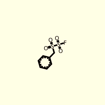 O=S(=O)(F)S(=O)(=O)Cc1ccccc1